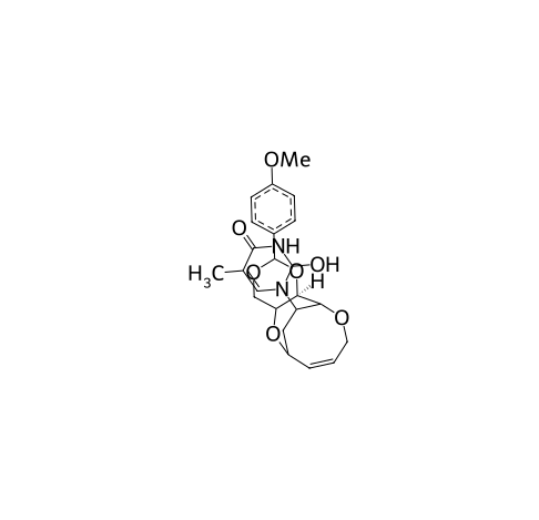 COc1ccc(C2OCC3OC4/C=C\COC(C(N5C=C(C)C(=O)NC5O)C4)[C@@H]3O2)cc1